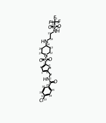 O=C(NCc1ccc(S(=O)(=O)N2CCC(NCCNS(=O)(=O)C(F)(F)F)CC2)s1)c1ccc(Cl)cc1